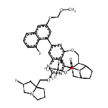 COCOc1cc(-c2cc3nc(OCC45CCCN4CC(F)C5)nc4c3c(n2)OCC2C3CCC(CN42)N3C(=O)OC(C)(C)C)c2c(F)cccc2c1